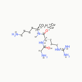 CN(C(=O)[C@H](CCCNC(=N)N)NC(=O)CN)[C@@H](CCCCN)C(=O)O.[Cu].[Cu]